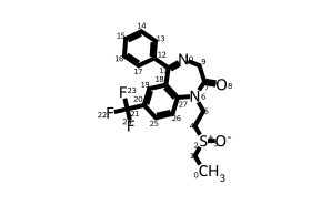 CC[S+]([O-])CCN1C(=O)CN=C(c2ccccc2)c2cc(C(F)(F)F)ccc21